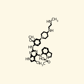 CNCCNC1CCN(c2ccc(Nc3nc(Nc4cccc5c4N(S(C)(=O)=O)CC5)c4c(Cl)c[nH]c4n3)c(OC)c2)CC1